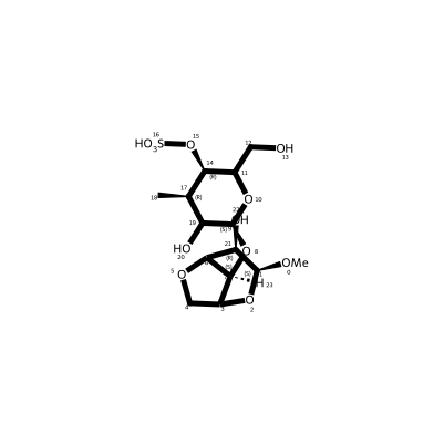 CO[C@H]1OC2COC([C@H]2O[C@@H]2OC(CO)[C@H](OS(=O)(=O)O)[C@H](C)C2O)[C@H]1O